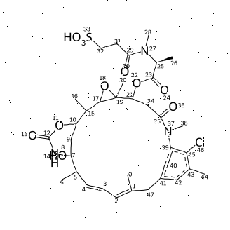 C/C1=C\C=C\C(C)C2(O)CC(OC(=O)N2)C(C)C2OC2(C)C(OC(=O)[C@H](C)N(C)C(=O)CCS(=O)(=O)O)CC(=O)N(C)c2cc(cc(C)c2Cl)C1